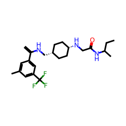 C=C(NC[C@H]1CC[C@@H](NCC(=O)NC(C)CC)CC1)c1cc(C)cc(C(F)(F)F)c1